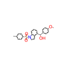 COc1ccc(C(O)c2cccc3c2ccn3S(=O)(=O)c2ccc(C)cc2)cc1